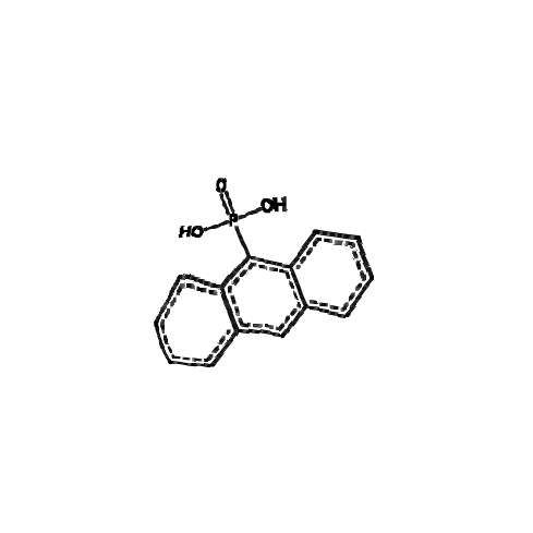 O=P(O)(O)c1c2ccccc2cc2ccccc12